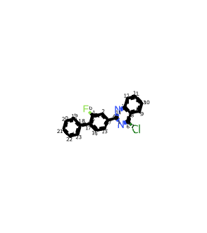 Fc1cc(-c2nc(Cl)c3ccccc3n2)ccc1-c1ccccc1